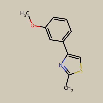 COc1cccc(-c2csc(C)n2)c1